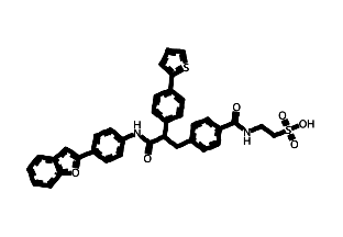 O=C(NCCS(=O)(=O)O)c1ccc(CC(C(=O)Nc2ccc(-c3cc4ccccc4o3)cc2)c2ccc(-c3cccs3)cc2)cc1